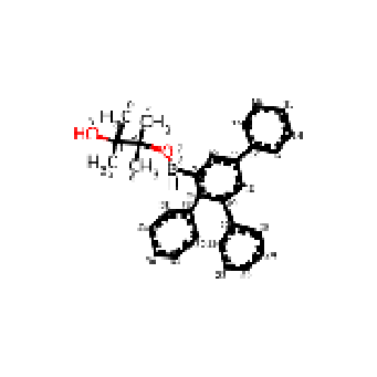 CC(C)(O)C(C)(C)OBc1cc(-c2ccccc2)cc(-c2ccccc2)c1-c1ccccc1